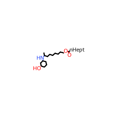 CCCCCCCC(=O)OCCCCCCCC(C)NC1CCCC(O)C1